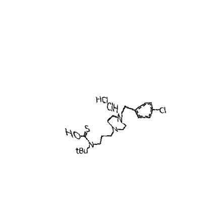 CC(C)(C)N(CCCN1CCN(Cc2ccc(Cl)cc2)CC1)C(O)=S.Cl.Cl